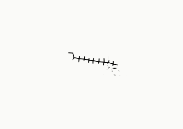 CCC(F)C(F)(F)C(F)(F)C(F)(F)C(F)(F)C(F)(F)C(F)(F)C(F)(F)C(F)(F)[Si](OC)(OC)OC